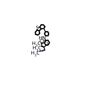 C=C/C=C\C1=C(C)C(C)(C)c2c(Nc3cccc(-c4cccc5sc6ccccc6c45)c3)cccc21